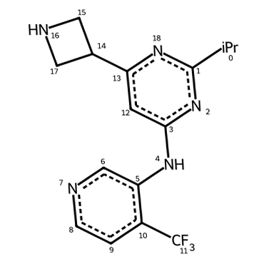 CC(C)c1nc(Nc2cnccc2C(F)(F)F)cc(C2CNC2)n1